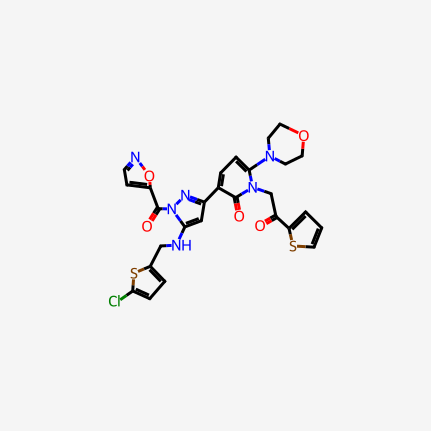 O=C(Cn1c(N2CCOCC2)ccc(-c2cc(NCc3ccc(Cl)s3)n(C(=O)c3ccno3)n2)c1=O)c1cccs1